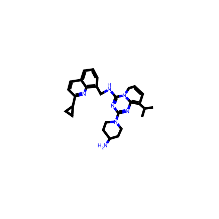 CC(C)C1=C2N=C(N3CCC(N)CC3)N=C(NCc3cccc4ccc(C5CC5)nc34)N2CC=C1